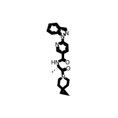 C[C@H](NC(=O)c1ccc(-n2ncc3ccccc32)nc1)C(=O)N1CCC2(CC1)CC2